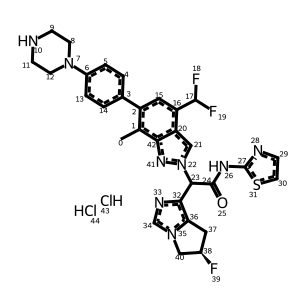 Cc1c(-c2ccc(N3CCNCC3)cc2)cc(C(F)F)c2cn(C(C(=O)Nc3nccs3)c3ncn4c3C[C@@H](F)C4)nc12.Cl.Cl